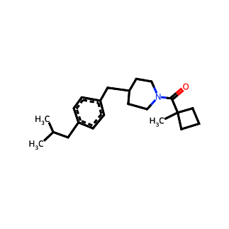 CC(C)Cc1ccc(CC2CCN(C(=O)C3(C)CCC3)CC2)cc1